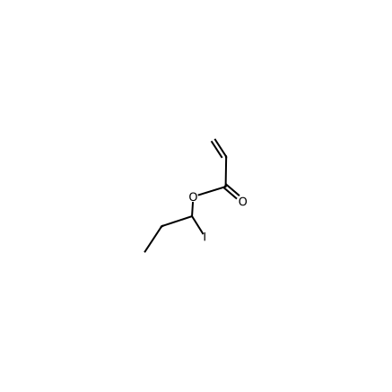 C=CC(=O)OC(I)CC